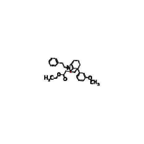 CCOC(=O)CCC1C2CCCC1(c1cccc(OC)c1)CCN2CCc1ccccc1